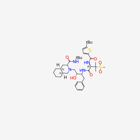 CC(C)(C)NC(=O)C1C[C@@H]2CCCC[C@@H]2CN1CC(O)C(Cc1ccccc1)NC(=O)[C@@H](NC(=O)c1ccc(C(C)(C)C)s1)C(C)(C)S(C)(=O)=O